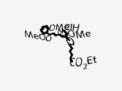 CCOC(=O)CCCCCOc1cc(C=CC(=O)c2c(OC)cccc2OC)ncc1OC.Cl